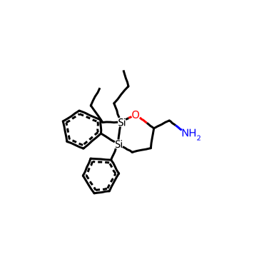 CCC[Si]1(CCC)OC(CN)CC[Si]1(c1ccccc1)c1ccccc1